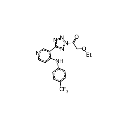 CCOCC(=O)n1nnc(-c2cnccc2Nc2ccc(C(F)(F)F)cc2)n1